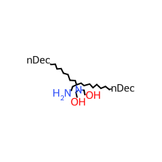 CCCCCCCCCCCCCCCCCCC(CCN)(CCCCCCCCCCCCCCCCCC)N(CCO)CCO